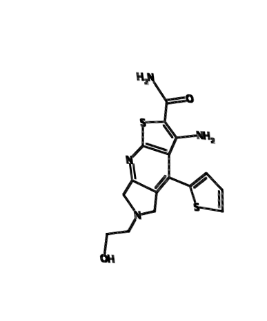 NC(=O)c1sc2nc3c(c(-c4cccs4)c2c1N)CN(CCO)C3